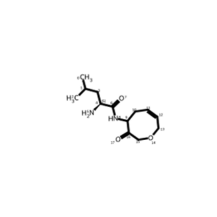 CC(C)C[C@H](N)C(=O)NC1CC=CCOCC1=O